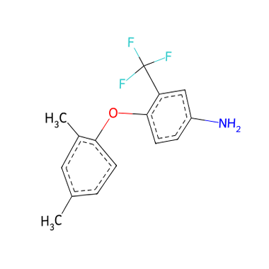 Cc1ccc(Oc2ccc(N)cc2C(F)(F)F)c(C)c1